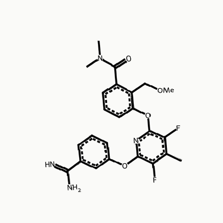 COCc1c(Oc2nc(Oc3cccc(C(=N)N)c3)c(F)c(C)c2F)cccc1C(=O)N(C)C